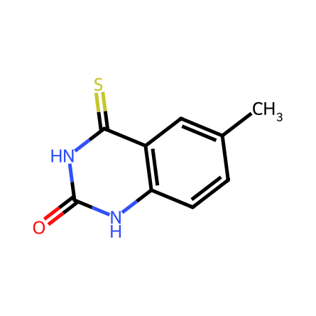 Cc1ccc2[nH]c(=O)[nH]c(=S)c2c1